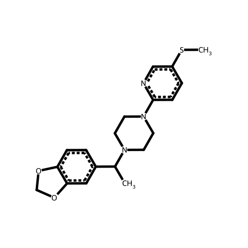 CSc1ccc(N2CCN(C(C)c3ccc4c(c3)OCO4)CC2)nc1